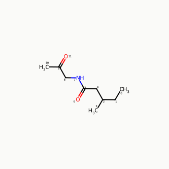 CCC(C)CC(=O)NCC(C)=O